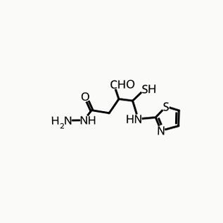 NNC(=O)CC(C=O)C(S)Nc1nccs1